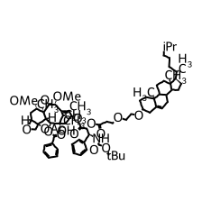 CO[C@H]1C(=O)[C@]2(C)[C@@H](OC)C[C@H]3OC[C@@]3(OC(C)=O)[C@H]2[C@H](OC(=O)c2ccccc2)[C@]2(O)C[C@H](OC(=O)[C@H](OC(=O)CCOCCO[C@H]3CC[C@@]4(C)C(=CCC5C4CC[C@@]4(C)C5CC[C@@H]4[C@H](C)CCCC(C)C)C3)[C@@H](NC(=O)OC(C)(C)C)c3ccccc3)C(C)=C1C2(C)C